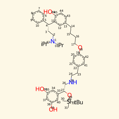 CC(C)N(CC[C@H](c1ccccc1)c1cc(CCCCOc2ccc(CCNC[C@H](O[Si](C)(C)C(C)(C)C)c3cc(O)cc(O)c3)cc2)ccc1O)C(C)C